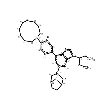 CCC(CC)n1cnc2c(-c3cnc(N4CCCCCCCCC4)cn3)nc(N3CC4CCC(C3)O4)nc21